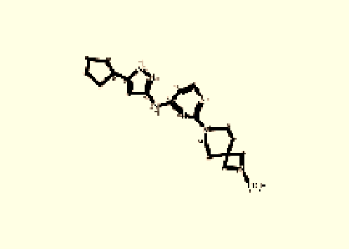 O=C(O)N1CC2(CCN(c3nccc(Nc4cc(C5CCCC5)[nH]n4)n3)CC2)C1